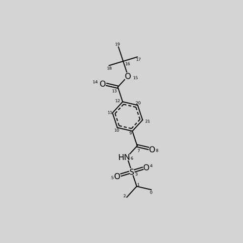 CC(C)S(=O)(=O)NC(=O)c1ccc(C(=O)OC(C)(C)C)cc1